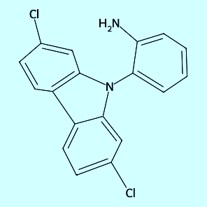 Nc1ccccc1-n1c2cc(Cl)ccc2c2ccc(Cl)cc21